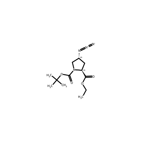 CCOC(=O)[C@@H]1C[C@@H](N=[N+]=[N-])CN1C(=O)OC(C)(C)C